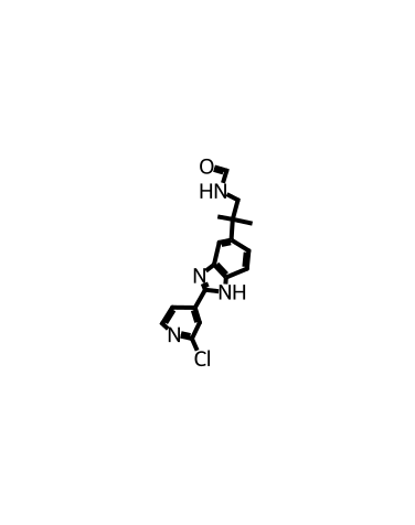 CC(C)(CNC=O)c1ccc2[nH]c(-c3ccnc(Cl)c3)nc2c1